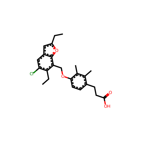 CCc1cc2cc(Cl)c(CC)c(COc3ccc(CCC(=O)O)c(C)c3C)c2o1